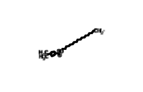 [CH2]CCCCCCCCCCCCCCCCCOOC(=O)c1ccc(C(C)C)cc1